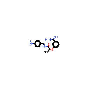 CCCC(Oc1cccc(C(=N)N)c1)C(=O)NCc1ccc(N(C)C)cc1